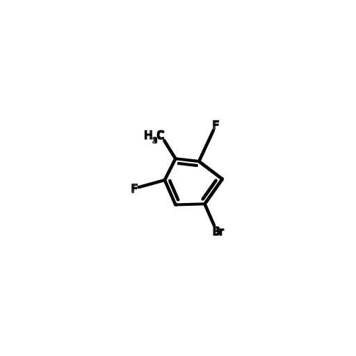 Cc1c(F)cc(Br)cc1F